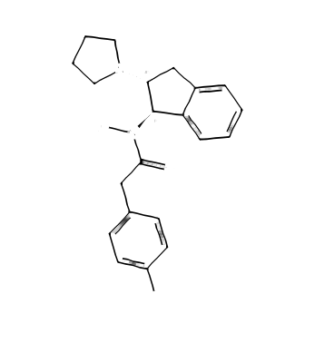 CN(C(=O)Cc1ccc(C(F)(F)F)cc1)[C@@H]1c2ccccc2C[C@H]1N1CCCC1